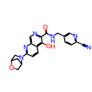 N#Cc1ccc(CNC(=O)c2ncc3nc(N4CC5CC4CO5)ccc3c2O)cn1